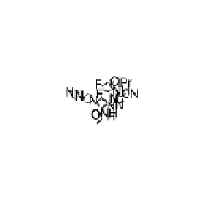 C=CC(=O)Nc1cc(N2CCC(N3CCN(C)CC3)CC2)c(F)cc1Nc1ncc(C#N)c(Nc2ccc(F)cc2OC(C)C)n1